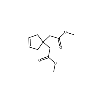 COC(=O)CC1(CC(=O)OC)CC=CC1